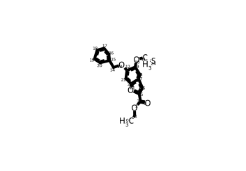 CCOC(=O)c1cc2cc(OC)c(OCc3ccccc3)cc2o1.[S]